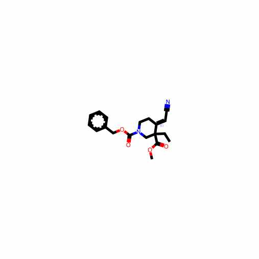 CCC1(C(=O)OC)CN(C(=O)OCc2ccccc2)CC/C1=C\C#N